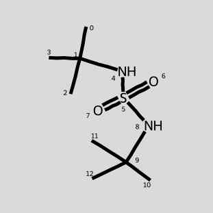 CC(C)(C)NS(=O)(=O)NC(C)(C)C